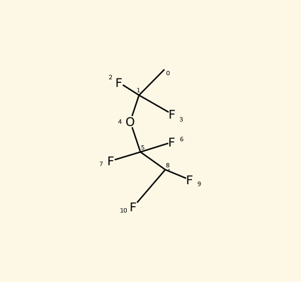 CC(F)(F)OC(F)(F)[C](F)F